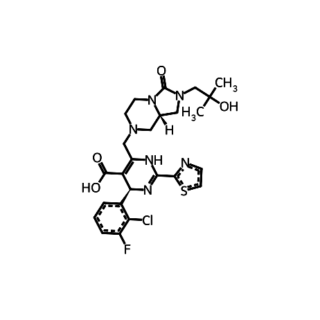 CC(C)(O)CN1C[C@@H]2CN(CC3=C(C(=O)O)[C@H](c4cccc(F)c4Cl)N=C(c4nccs4)N3)CCN2C1=O